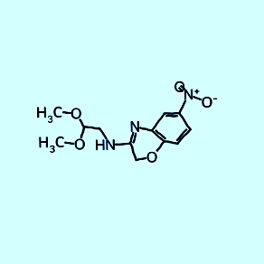 COC(CNC1=Nc2cc([N+](=O)[O-])ccc2OC1)OC